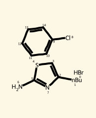 Br.CCCCc1csc(N)n1.Clc1ccccc1